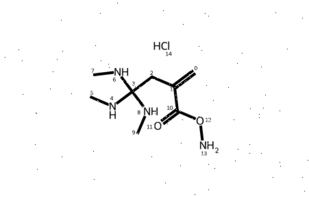 C=C(CC(NC)(NC)NC)C(=O)ON.Cl